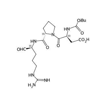 CC(C)COC(=O)N[C@@H](CC(=O)O)C(=O)N1CCC[C@H]1C(=O)N[C@H](C=O)CCCNC(=N)N